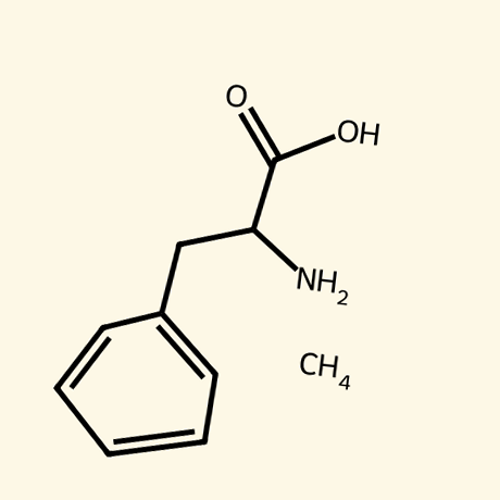 C.NC(Cc1ccccc1)C(=O)O